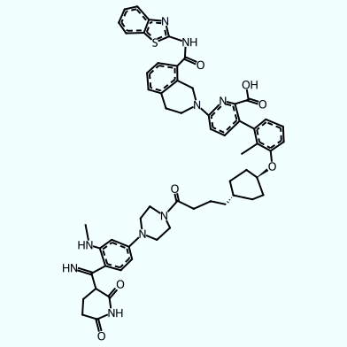 CNc1cc(N2CCN(C(=O)CCC[C@H]3CC[C@H](Oc4cccc(-c5ccc(N6CCc7cccc(C(=O)Nc8nc9ccccc9s8)c7C6)nc5C(=O)O)c4C)CC3)CC2)ccc1C(=N)C1CCC(=O)NC1=O